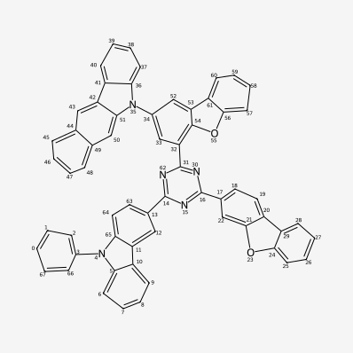 c1ccc(-n2c3ccccc3c3cc(-c4nc(-c5ccc6c(c5)oc5ccccc56)nc(-c5cc(-n6c7ccccc7c7cc8ccccc8cc76)cc6c5oc5ccccc56)n4)ccc32)cc1